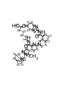 Cc1c(-c2ccc(N3CCc4cccc(C(=O)Nc5nc6ccccc6s5)c4C3)nc2C(=O)NCCCCCC(=O)O)cnn1CC12CC3CC(CC(C3)C1)C2